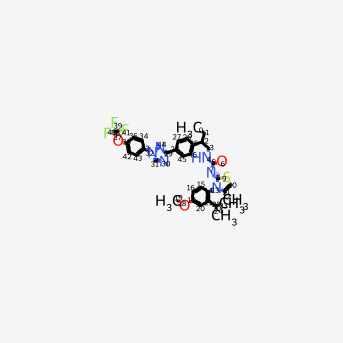 CCC(CNC(=O)/N=c1\scc(C)n1-c1ccc(OC)cc1C(C)C)c1ccc(-c2ncn(-c3ccc(OC(F)(F)F)cc3)n2)cc1